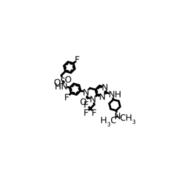 CN(C)C1CCC(Nc2ncc3c(n2)N(CC(F)(F)F)C(=O)N(c2ccc(NS(=O)(=O)Cc4ccc(F)cc4)c(F)c2)C3)CC1